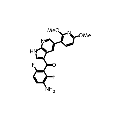 COc1ccc(-c2cnc3[nH]cc(C(=O)c4c(F)ccc(N)c4F)c3c2)c(OC)n1